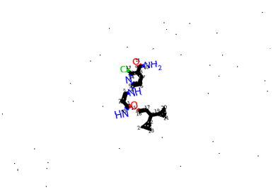 N=C(/C=C\Nc1ccc(C(N)=O)c(Cl)n1)OCCC(C1CC1)C1CC1